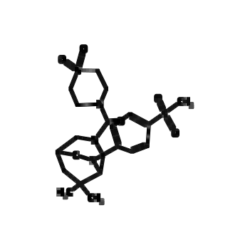 CC1(C)CC2CN(C(=O)N3CCS(=O)(=O)CC3)CC1N(c1ccc(S(C)(=O)=O)cc1)C2